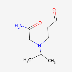 CC(C)N(CCC=O)CC(N)=O